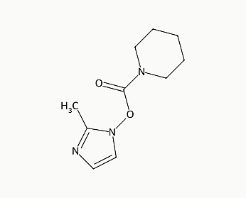 Cc1nccn1OC(=O)N1CCCCC1